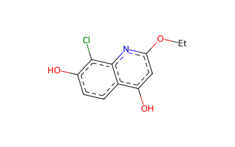 CCOc1cc(O)c2ccc(O)c(Cl)c2n1